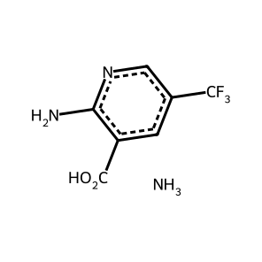 N.Nc1ncc(C(F)(F)F)cc1C(=O)O